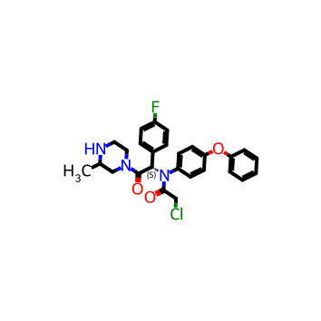 CC1CN(C(=O)[C@H](c2ccc(F)cc2)N(C(=O)CCl)c2ccc(Oc3ccccc3)cc2)CCN1